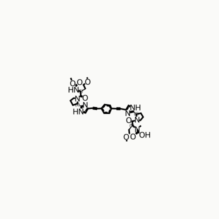 COCC[C@H](NC(=O)OC)C(=O)N1CCC[C@H]1c1nc(C#Cc2ccc(C#Cc3c[nH]c([C@@H]4CCCN4C(=O)[C@H](CCOC)N(C)C(=O)O)n3)cc2)c[nH]1